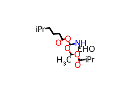 CC(C)CCCC(=O)OC(NC=O)O[C@@H](C)OC(=O)C(C)C